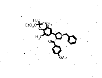 CCOC(=O)C(C)(C)Oc1c(C)cc(C2CN(Cc3ccccc3)C[C@@H]2C(=O)c2ccc(SC)cc2)cc1C